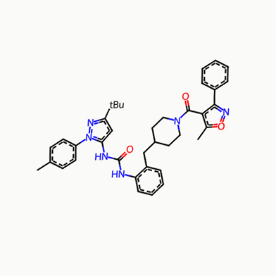 Cc1ccc(-n2nc(C(C)(C)C)cc2NC(=O)Nc2ccccc2CC2CCN(C(=O)c3c(-c4ccccc4)noc3C)CC2)cc1